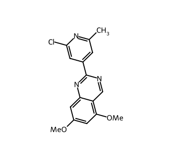 COc1cc(OC)c2cnc(-c3cc(C)nc(Cl)c3)nc2c1